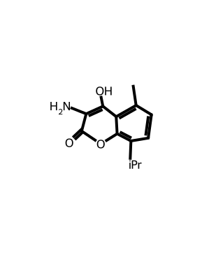 Cc1ccc(C(C)C)c2oc(=O)c(N)c(O)c12